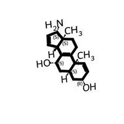 C[C@]12CCC3=C([C@@H](O)C[C@@H]4C[C@@H](O)C=C[C@]34C)[C@@H]1C=C[C@@H]2N